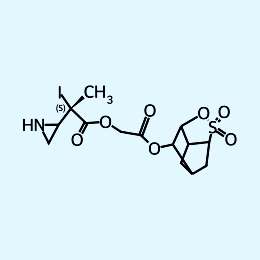 C[C@@](I)(C(=O)OCC(=O)OC1C2CC3C1OS(=O)(=O)C3C2)C1CN1